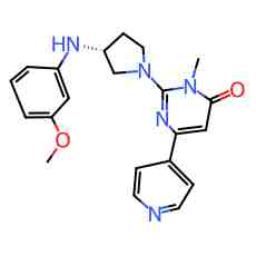 COc1cccc(N[C@@H]2CCN(c3nc(-c4ccncc4)cc(=O)n3C)C2)c1